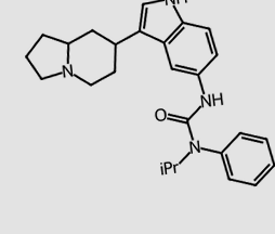 CC(C)N(C(=O)Nc1ccc2[nH]cc(C3CCN4CCCC4C3)c2c1)c1ccccc1